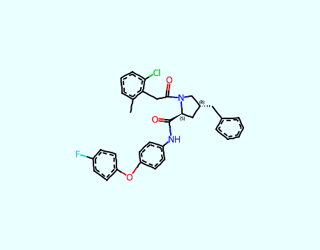 Cc1cccc(Cl)c1CC(=O)N1C[C@H](Cc2ccccc2)C[C@H]1C(=O)Nc1ccc(Oc2ccc(F)cc2)cc1